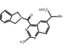 CCCCC(C(=O)OCC)c1ccc2nc(N)nc(C(=O)N3Cc4ccccc4C3)c2c1